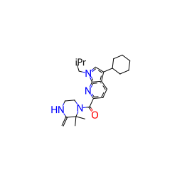 C=C1NCCN(C(=O)c2ccc3c(C4CCCCC4)cn(CC(C)C)c3n2)C1(C)C